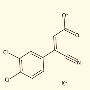 N#C/C(=C\C(=O)[O-])c1ccc(Cl)c(Cl)c1.[K+]